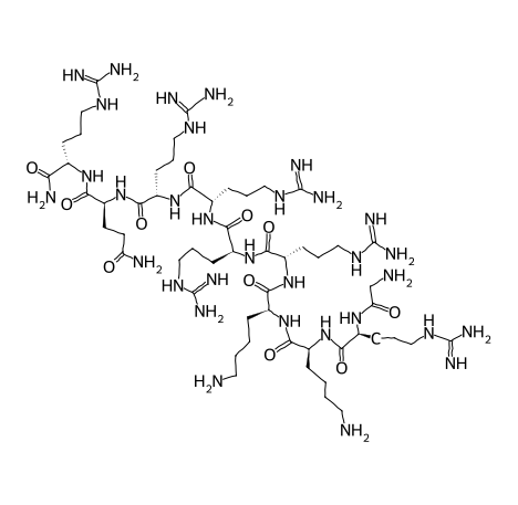 N=C(N)NCCC[C@H](NC(=O)[C@H](CCC(N)=O)NC(=O)[C@H](CCCNC(=N)N)NC(=O)[C@H](CCCNC(=N)N)NC(=O)[C@H](CCCNC(=N)N)NC(=O)[C@H](CCCNC(=N)N)NC(=O)[C@H](CCCCN)NC(=O)[C@H](CCCCN)NC(=O)[C@H](CCCNC(=N)N)NC(=O)CN)C(N)=O